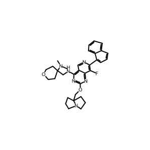 CN(C)C1(CNc2nc(OCC34CCCN3CCC4)nc3c(F)c(-c4cccc5ccccc45)ncc23)CCOCC1